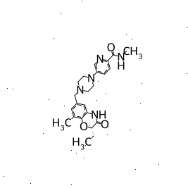 CC[C@@H]1Oc2c(C)cc(CN3CCN(c4ccc(C(=O)NC)nc4)CC3)cc2NC1=O